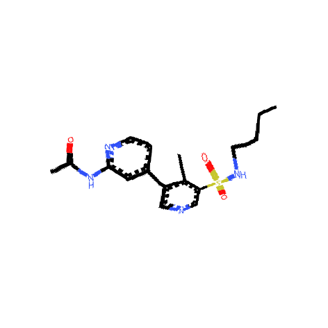 CCCCNS(=O)(=O)c1cncc(-c2ccnc(NC(C)=O)c2)c1C